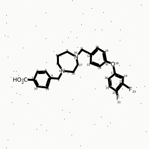 O=C(O)c1ccc(CN2CCCN(Cc3ccc(Oc4ccc(F)c(F)c4)cc3)CC2)cc1